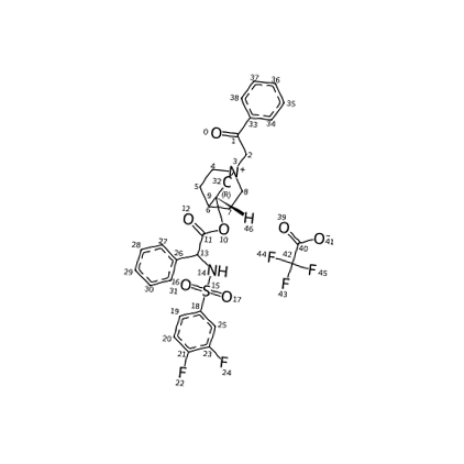 O=C(C[N+]12CCC(CC1)[C@@H](OC(=O)C(NS(=O)(=O)c1ccc(F)c(F)c1)c1ccccc1)C2)c1ccccc1.O=C([O-])C(F)(F)F